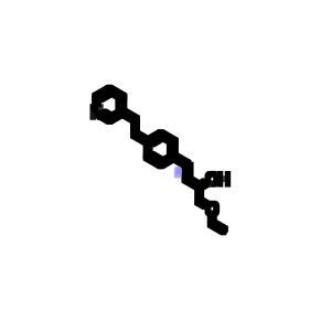 CCOCC(O)/C=C/c1ccc(CCc2cccnc2)cc1